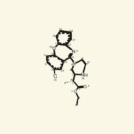 CCOC(=O)[C@H](C)C1CN(C2=Nc3ccccc3Oc3ccc(Cl)cc32)CCN1